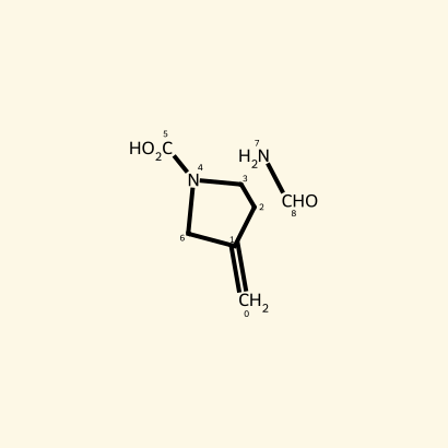 C=C1CCN(C(=O)O)C1.NC=O